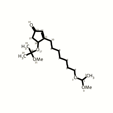 COC(C)OCCCCCCCC1=CC(=O)CC1OC(C)(C)OC